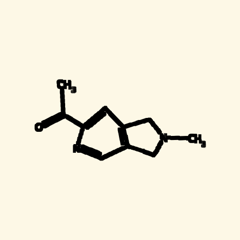 CC(=O)c1cc2c(cn1)CN(C)C2